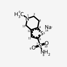 CN1CCc2sc(S(N)(=O)=O)cc2C1.[Na]